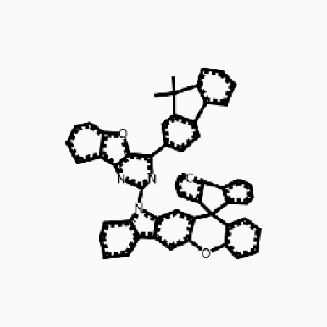 CC1(C)c2ccccc2-c2ccc(-c3nc(-n4c5ccccc5c5cc6c(cc54)C4(c5ccccc5O6)c5ccccc5-c5ccccc54)nc4c3oc3ccccc34)cc21